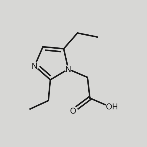 CCc1cnc(CC)n1CC(=O)O